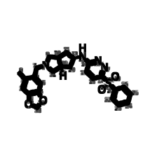 Cc1cc2c(cc1CN1CC3C[C@@H](Nc4ccc(S(=O)(=O)c5ccccc5)nn4)C[C@@H]3C1)OCO2